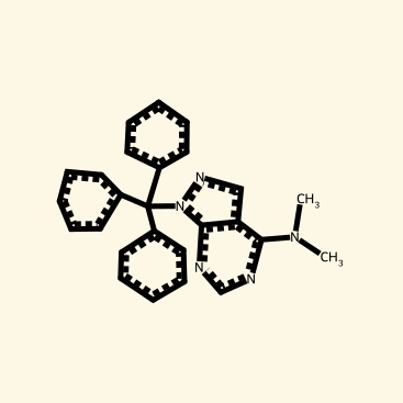 CN(C)c1ncnc2c1cnn2C(c1ccccc1)(c1ccccc1)c1ccccc1